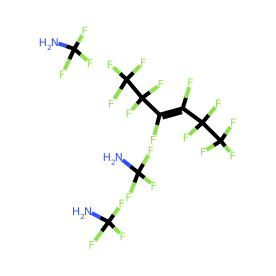 FC(=C(F)C(F)(F)C(F)(F)F)C(F)(F)C(F)(F)F.NC(F)(F)F.NC(F)(F)F.NC(F)(F)F